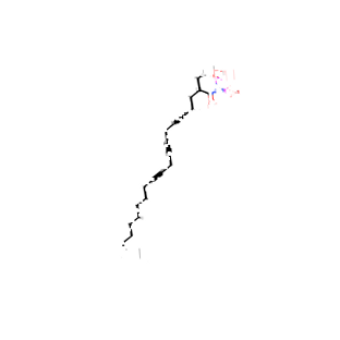 CCCCCCCCC#CCC#CCC#CCCC(CC)C(=O)N(O)O